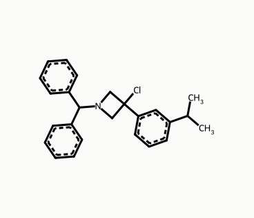 CC(C)c1cccc(C2(Cl)CN(C(c3ccccc3)c3ccccc3)C2)c1